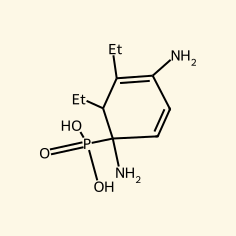 CCC1=C(N)C=CC(N)(P(=O)(O)O)C1CC